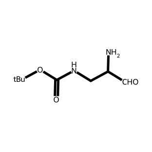 CC(C)(C)OC(=O)NCC(N)C=O